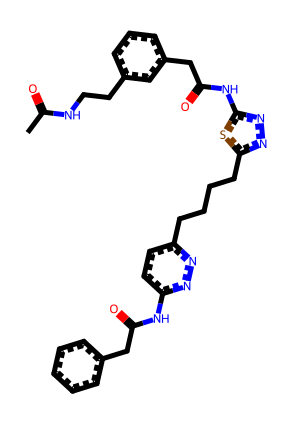 CC(=O)NCCc1cccc(CC(=O)Nc2nnc(CCCCc3ccc(NC(=O)Cc4ccccc4)nn3)s2)c1